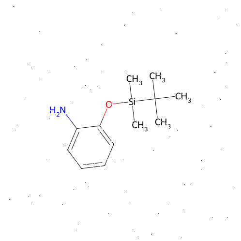 CC(C)(C)[Si](C)(C)Oc1ccccc1N